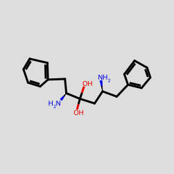 N[C@@H](Cc1ccccc1)CC(O)(O)[C@@H](N)Cc1ccccc1